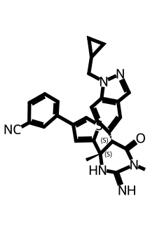 CN1C(=N)N[C@](C)(c2cc(-c3cccc(C#N)c3)cs2)[C@H](c2ccc3c(cnn3CC3CC3)c2)C1=O